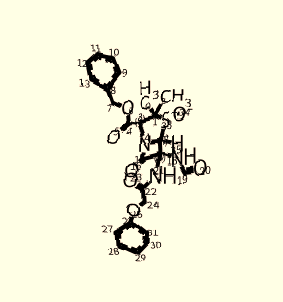 CC1(C)[C@H](C(=O)OCc2ccccc2)N2C(=O)[C@@](NC=O)(NC(=O)COc3ccccc3)[C@H]2[S+]1[O-]